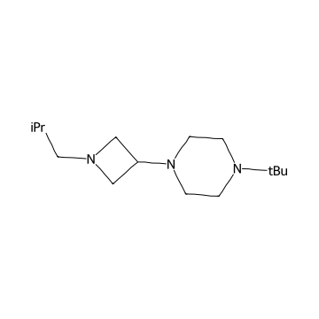 CC(C)CN1CC(N2CCN(C(C)(C)C)CC2)C1